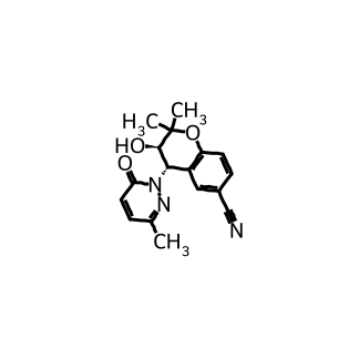 Cc1ccc(=O)n([C@H]2c3cc(C#N)ccc3OC(C)(C)[C@@H]2O)n1